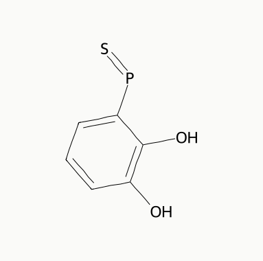 Oc1cccc(P=S)c1O